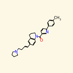 Cc1ccc(-c2ccc(C(=O)N3CCCc4cc(C=CCCN5CCCC5)ccc43)cn2)cc1